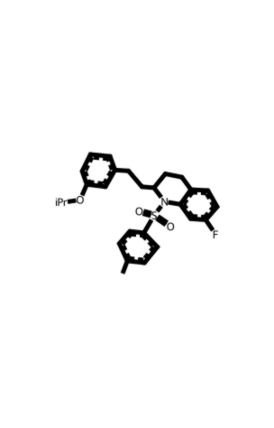 Cc1ccc(S(=O)(=O)N2c3cc(F)ccc3CCC2CCc2cccc(OC(C)C)c2)cc1